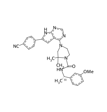 COc1cccc([C@H](C)NC(=O)N2CCN(c3ncnc4[nH]c(-c5ccc(C#N)cc5)cc34)CC2(C)C)c1